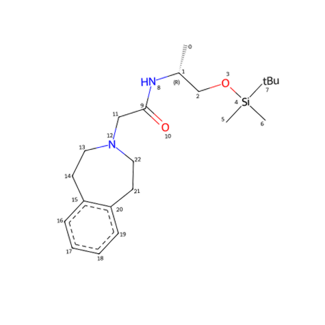 C[C@H](CO[Si](C)(C)C(C)(C)C)NC(=O)CN1CCc2ccccc2CC1